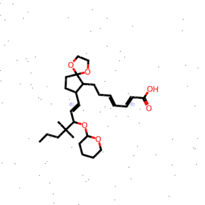 CCCC(C)(C)C(/C=C/C1CCC2(OCCO2)C1CCC=C/C=C/C(=O)O)OC1CCCCO1